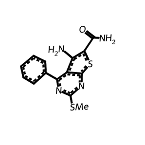 CSc1nc(-c2ccccc2)c2c(N)c(C(N)=O)sc2n1